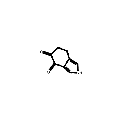 O=C1CCc2c[nH]cc2C1=O